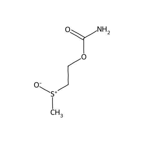 C[S+]([O-])CCOC(N)=O